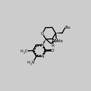 CCC(C)C[C@@]12CCO[C@@](n3cc(C)c(N)nc3=O)(CO1)[C@H]2OC